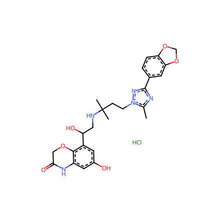 Cc1nc(-c2ccc3c(c2)OCO3)nn1CCC(C)(C)NCC(O)c1cc(O)cc2c1OCC(=O)N2.Cl